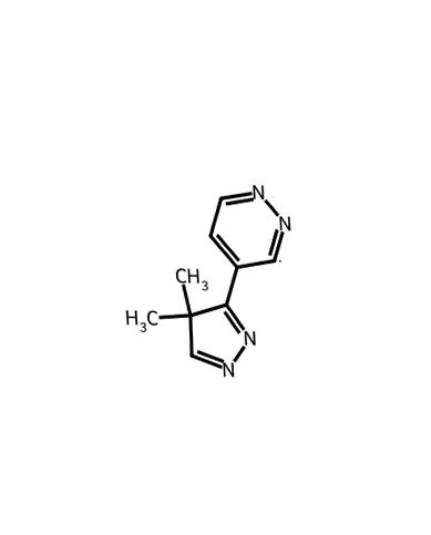 CC1(C)C=NN=C1c1[c]nncc1